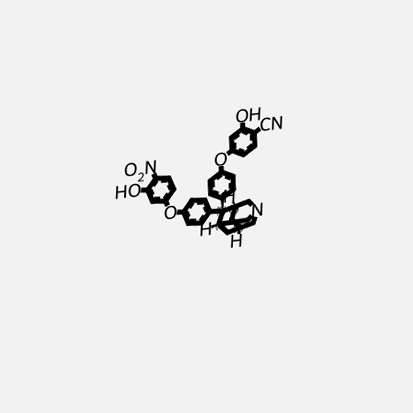 N#Cc1ccc(Oc2ccc([C@@]3(c4ccc(Oc5ccc([N+](=O)[O-])c(O)c5)cc4)[C@@H]4C[C@H]5C[C@H]3CN(C5)C4)cc2)cc1O